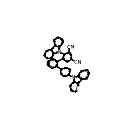 N#Cc1cc(C#N)c(-n2c3ccccc3c3ccccc32)c(-c2cc#ccc2-c2ccc(-n3c4ccccc4c4ccccc43)cc2)c1